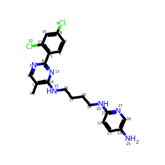 Cc1cnc(-c2ccc(Cl)cc2Cl)nc1NCCCCNc1ccc(N)cn1